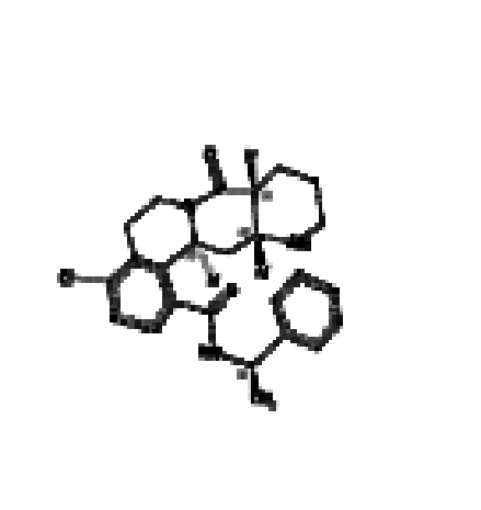 C[C@@H](NC(=O)c1ccc(Cl)c2c1[C@@H]1C[C@H]3NCCC[C@H]3C(=O)N1CC2)c1ccccc1